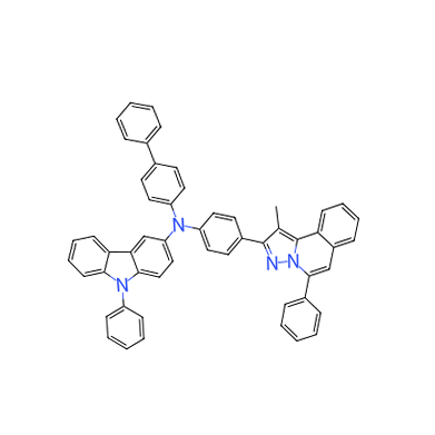 Cc1c(-c2ccc(N(c3ccc(-c4ccccc4)cc3)c3ccc4c(c3)c3ccccc3n4-c3ccccc3)cc2)nn2c(-c3ccccc3)cc3ccccc3c12